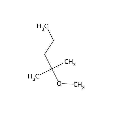 CCCC(C)(C)OC